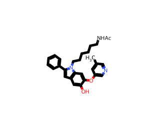 CC(=O)NCCCCCCn1c(-c2ccccc2)cc2cc(O)c(Oc3cncc(C)c3)cc21